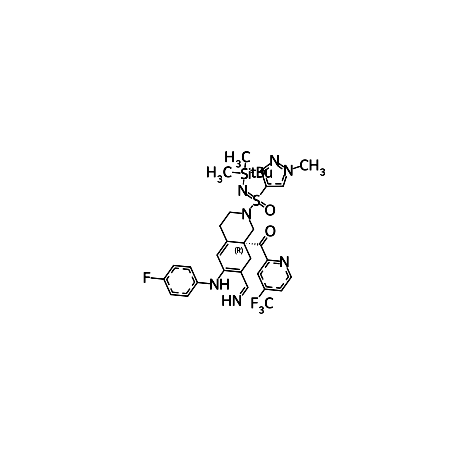 Cn1cc(S(=O)(=N[Si](C)(C)C(C)(C)C)N2CCC3=CC(Nc4ccc(F)cc4)=C(C=N)C[C@]3(C(=O)c3cc(C(F)(F)F)ccn3)C2)cn1